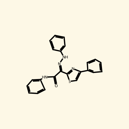 O=C(Nc1ccccc1)C(=NNc1ccccc1)c1nc(-c2ccccc2)cs1